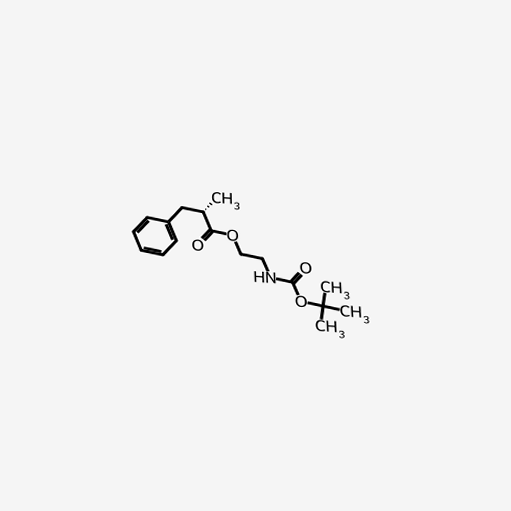 C[C@@H](Cc1ccccc1)C(=O)OCCNC(=O)OC(C)(C)C